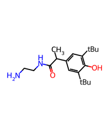 CC(C(=O)NCCN)c1cc(C(C)(C)C)c(O)c(C(C)(C)C)c1